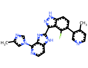 Cc1cn(-c2nccc3[nH]c(-c4n[nH]c5ccc(-c6cnccc6C)c(F)c45)nc23)cn1